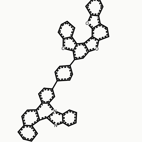 c1ccc2c(c1)ccc1c3ccc(-c4ccc(-c5cc6oc7ccc8c9ccccc9oc8c7c6c6c5oc5ccccc56)cc4)cc3n3c4ccccc4nc3c21